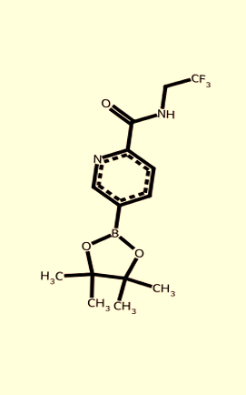 CC1(C)OB(c2ccc(C(=O)NCC(F)(F)F)nc2)OC1(C)C